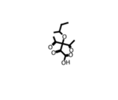 CCC(C)OC(C(C)=O)(C(C)=O)C(=O)C(=O)O